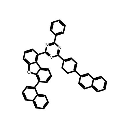 C1=C(c2ccc3ccccc3c2)CCC(c2nc(-c3ccccc3)nc(-c3cccc4oc5c(-c6cccc7ccccc67)cccc5c34)n2)=C1